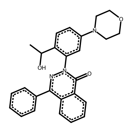 CC(O)c1ccc(N2CCOCC2)cc1-n1nc(-c2ccccc2)c2ccccc2c1=O